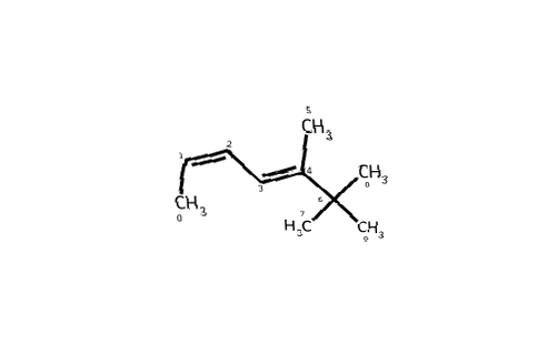 C/C=C\C=C(/C)C(C)(C)C